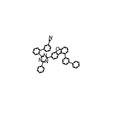 N#Cc1cccc(-c2ccccc2-c2nc(-c3ccccc3)nc(-c3ccc4c(c3)oc3cccc(-c5cccc(-c6ccccc6)c5)c34)n2)c1